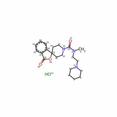 CN(CCN1CCCCC1)C(=O)N1CCC2(CC1)OC(=O)c1ccccc12.Cl